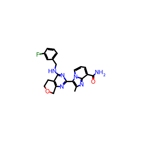 Cc1nc2c(C(N)=O)cccn2c1-c1nc2c(c(NCc3cccc(F)c3)n1)CCOC2